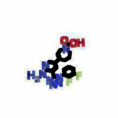 Nc1ncc(C2=CCN(C(=O)O)CCC2)cc1-c1nnnn1-c1cccc(F)c1F